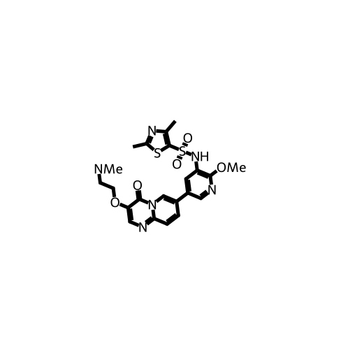 CNCCOc1cnc2ccc(-c3cnc(OC)c(NS(=O)(=O)c4sc(C)nc4C)c3)cn2c1=O